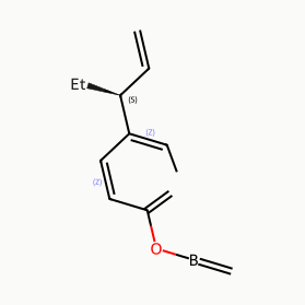 C=BOC(=C)/C=C\C(=C/C)[C@H](C=C)CC